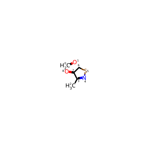 C=O.CC1=NSCC1=O